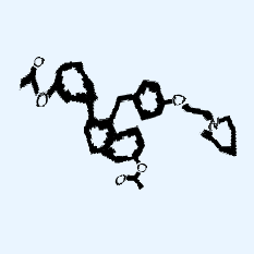 CC(=O)Oc1cccc(-c2ccc3cc(OC(C)=O)ccc3c2Cc2ccc(OCCN3CCCCC3)cc2)c1